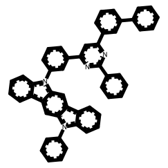 c1ccc(-c2cccc(-c3cc(-c4cccc(-n5c6ccccc6c6cc7c(cc65)c5ccccc5n7-c5ccccc5)c4)nc(-c4ccccc4)n3)c2)cc1